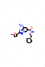 Cc1ccc(-c2nc3c(N)cc(C(=O)N(C)CCc4ccccc4)cn3n2)o1